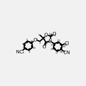 CC1(COc2ccc(C#N)cc2)OC(=O)N(c2ccc(C#N)c(Cl)c2)C1=O